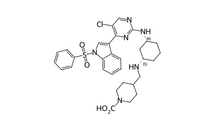 O=C(O)N1CCC(CN[C@H]2CCC[C@@H](Nc3ncc(Cl)c(-c4cn(S(=O)(=O)c5ccccc5)c5ccccc45)n3)C2)CC1